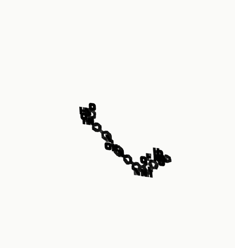 O=C1CCC(Nc2ccc(C3CCN(CC(=O)N4CCN(c5ccc(-c6cnc7[nH]cc(C(=O)c8c(F)ccc(NS(=O)(=O)N9CCCC9)c8F)c7c6)cc5)CC4)CC3)cc2)C(=O)N1